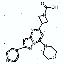 O=C(O)N1CC(c2cc(N3CCOCC3)n3nc(-c4ccncc4)cc3n2)C1